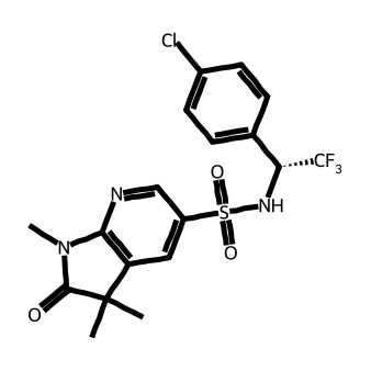 CN1C(=O)C(C)(C)c2cc(S(=O)(=O)N[C@H](c3ccc(Cl)cc3)C(F)(F)F)cnc21